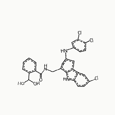 O=C(NCc1cc(Nc2ccc(Cl)c(Cl)c2)cc2c1[nH]c1ccc(Cl)cc12)c1ccccc1C(O)O